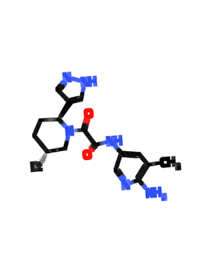 CC[C@@H]1CC[C@@H](c2cn[nH]c2)N(C(=O)C(=O)Nc2cnc(N)c(C)c2)C1